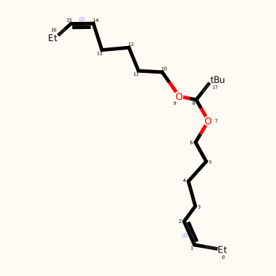 CC/C=C\CCCCOC(OCCCC/C=C\CC)C(C)(C)C